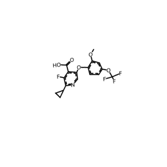 COc1cc(OC(F)(F)F)ccc1Oc1cnc(C2CC2)c(F)c1C(=O)O